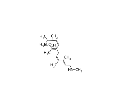 CNC/C=C(C)/C(C)=C\CC(/C=C\C(C)(C)C(C)C)=C(C)C